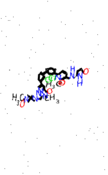 COc1nc(-c2cccc(-c3cccc(-c4cc5c(=O)n(C)c(CN6CC7(C6)CN(C(C)=O)C7)nn5c4)c3Cl)c2Cl)ccc1CNC[C@H]1CCC(=O)N1